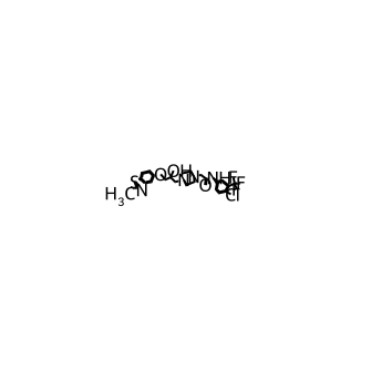 Cc1nc2cc(OCC(O)CN3CCN(CC(=O)Nc4ccc(Cl)c(C(F)(F)F)c4)CC3)ccc2s1